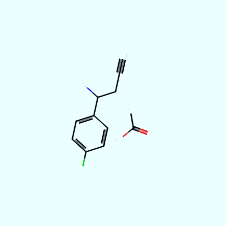 C#CCC(N)c1ccc(Cl)cc1.CC(=O)O